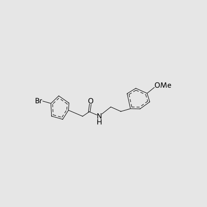 COc1ccc(CCNC(=O)Cc2ccc(Br)cc2)cc1